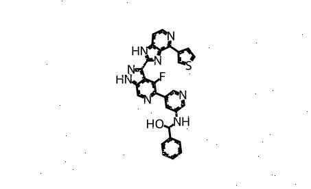 OC(Nc1cncc(-c2ncc3[nH]nc(-c4nc5c(-c6ccsc6)nccc5[nH]4)c3c2F)c1)c1ccccc1